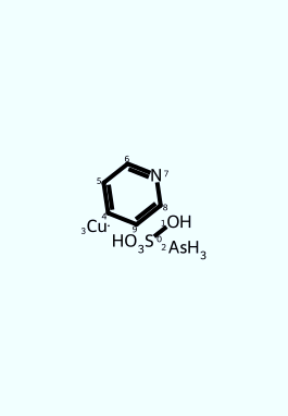 O=S(=O)(O)O.[AsH3].[Cu].c1ccncc1